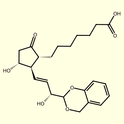 O=C(O)CCCCCC[C@H]1C(=O)C[C@@H](O)[C@@H]1/C=C/[C@@H](O)C1OCc2ccccc2O1